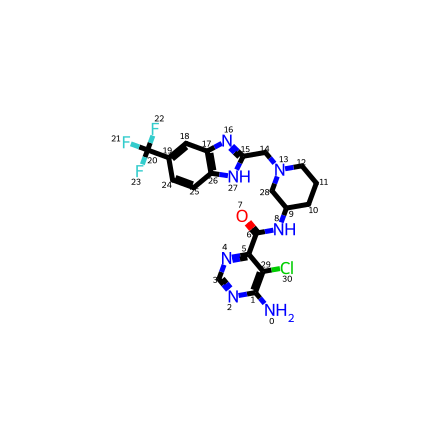 Nc1ncnc(C(=O)NC2CCCN(Cc3nc4cc(C(F)(F)F)ccc4[nH]3)C2)c1Cl